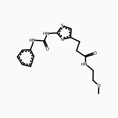 COCCNC(=O)CCc1csc(NC(=O)Nc2ccccc2)n1